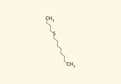 CCCCCCCCSCCCC